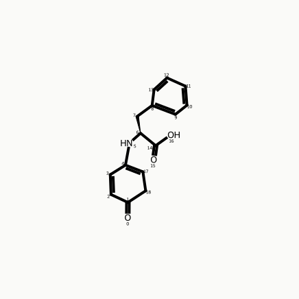 O=C1C=CC(N[C@@H](Cc2ccccc2)C(=O)O)=CC1